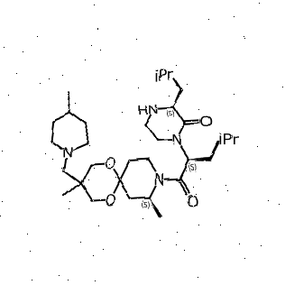 CC(C)C[C@@H]1NCCN([C@@H](CC(C)C)C(=O)N2CCC3(C[C@@H]2C)OCC(C)(CN2CCC(C)CC2)CO3)C1=O